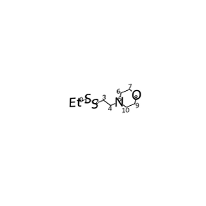 CCSSCCN1CCOCC1